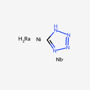 [Nb].[Ni].[RaH2].c1nnn[nH]1